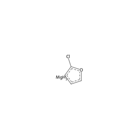 Clc1ccco1.[MgH2]